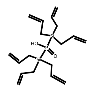 C=CC[Si](CC=C)(CC=C)P(=O)(O)[Si](CC=C)(CC=C)CC=C